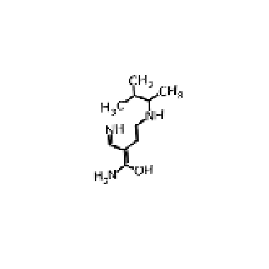 CC(C)C(C)NCC/C(C=N)=C(/N)O